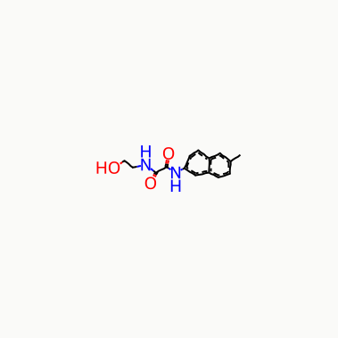 Cc1ccc2cc(NC(=O)C(=O)NCCO)ccc2c1